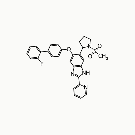 CS(=O)(=O)N1CCCC1c1cc2[nH]c(-c3ccccn3)nc2cc1Oc1ccc(-c2ccccc2F)cc1